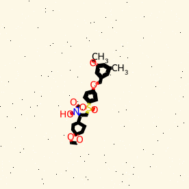 COc1cc(C)cc(COc2ccc(S(=O)(=O)CC(C3CCC4(CC3)OCCO4)N(O)C=O)cc2)c1